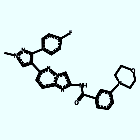 Cn1cc(-c2ccc3nc(NC(=O)c4cccc(N5CCOCC5)c4)cn3n2)c(-c2ccc(F)cc2)n1